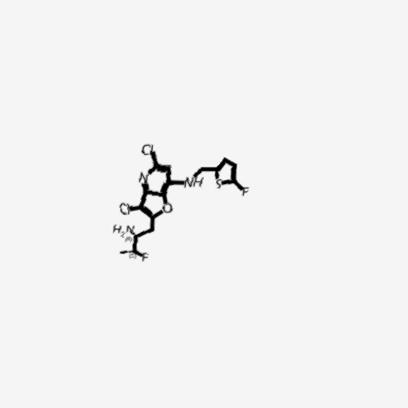 C[C@H](F)[C@H](N)Cc1oc2c(NCc3ccc(F)s3)cc(Cl)nc2c1Cl